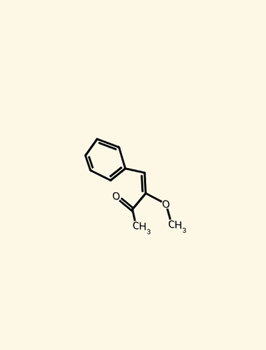 CO/C(=C/c1ccccc1)C(C)=O